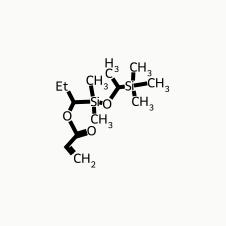 C=CC(=O)OC(CC)[Si](C)(C)OC(C)[Si](C)(C)C